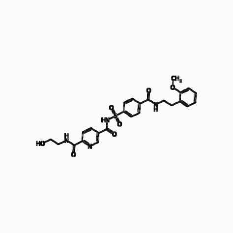 COc1ccccc1CCNC(=O)c1ccc(S(=O)(=O)NC(=O)c2ccc(C(=O)NCCO)nc2)cc1